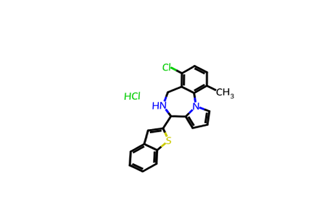 Cc1ccc(Cl)c2c1-n1cccc1C(c1cc3ccccc3s1)NC2.Cl